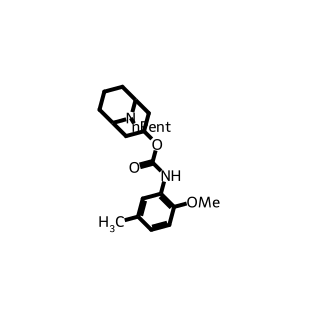 CCCCCN1C2CCCC1CC(OC(=O)Nc1cc(C)ccc1OC)C2